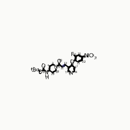 CC(C)(C)OC(=O)NC1CCN(C(=O)/C=C/c2cnccc2Oc2ccc([N+](=O)[O-])cc2F)CC1